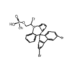 CCC(COP(=O)(O)O)N1c2ccccc2C2(c3ccc(Br)cc3-c3cc(Br)ccc32)c2ccccc21